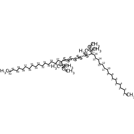 CCCCCCCCCCCCCCCCCC(SSSSSSSSC(CCCCCCCCCCCCCCCCC)[Si](C)(C)OC)[Si](C)(C)OC